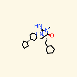 CN1C(=N)N[C@](CCC2CCCCC2)(C[C@H]2CCC[C@H](C3CCCC3)C2)C1=O